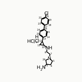 Cl.Cl.NC1CCN(CCNC2CC2c2ccc(-c3ccc(Cl)cc3)cc2)C1